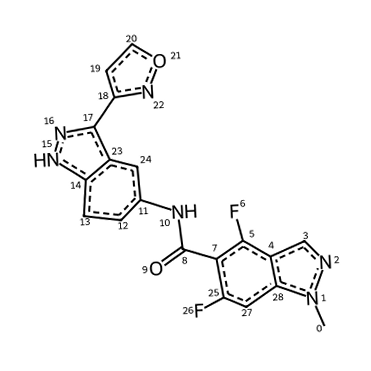 Cn1ncc2c(F)c(C(=O)Nc3ccc4[nH]nc(-c5ccon5)c4c3)c(F)cc21